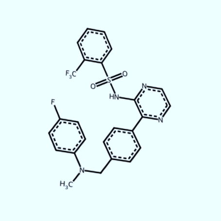 CN(Cc1ccc(-c2nccnc2NS(=O)(=O)c2ccccc2C(F)(F)F)cc1)c1ccc(F)cc1